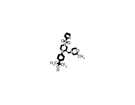 C[C@@H]1CN(C[C@@H]2CN(S(=O)(=O)c3cccs3)CCN2c2ccc(C(C)(O)C(F)(F)F)cc2)CCO1